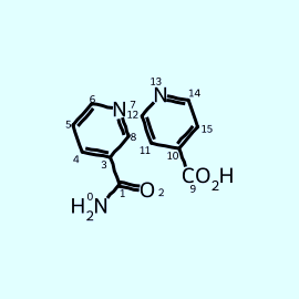 NC(=O)c1cccnc1.O=C(O)c1ccncc1